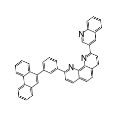 c1cc(-c2ccc3ccc4ccc(-c5cnc6ccccc6c5)nc4c3n2)cc(-c2cc3ccccc3c3ccccc23)c1